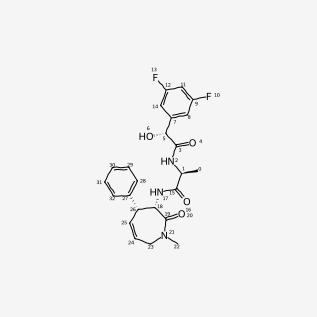 C[C@H](NC(=O)[C@H](O)c1cc(F)cc(F)c1)C(=O)N[C@@H]1C(=O)N(C)CC=C[C@@H]1c1ccccc1